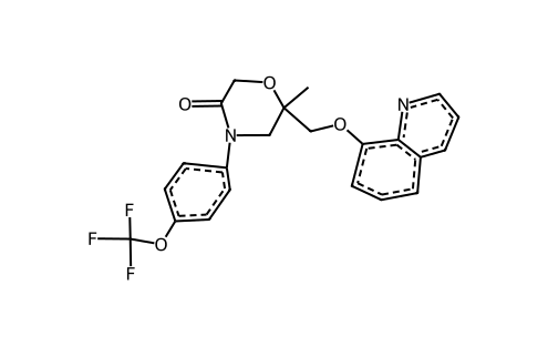 CC1(COc2cccc3cccnc23)CN(c2ccc(OC(F)(F)F)cc2)C(=O)CO1